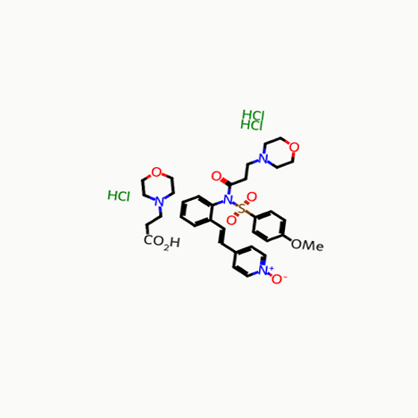 COc1ccc(S(=O)(=O)N(C(=O)CCN2CCOCC2)c2ccccc2/C=C/c2cc[n+]([O-])cc2)cc1.Cl.Cl.Cl.O=C(O)CCN1CCOCC1